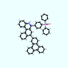 O=P(c1ccccc1)(c1ccccc1)c1ccc(-c2nc3ccccc3c3c2cc(-c2ccc4c5ccccc5c5ccccc5c4c2)c2ccccc23)cc1